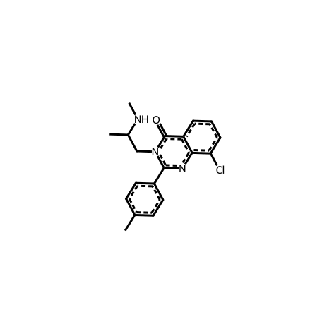 CNC(C)Cn1c(-c2ccc(C)cc2)nc2c(Cl)cccc2c1=O